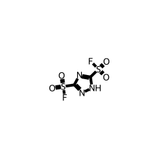 O=S(=O)(F)c1n[nH]c(S(=O)(=O)F)n1